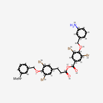 CNc1cccc(COc2c(Br)cc(CCC(=O)OC(=O)c3cc(Br)c(OCc4cccc(N)c4)c(Br)c3)cc2Br)c1